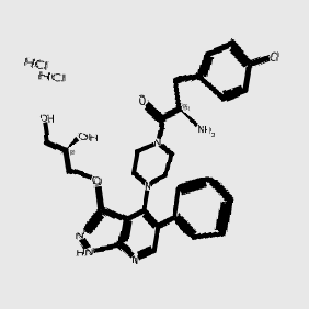 Cl.Cl.N[C@H](Cc1ccc(Cl)cc1)C(=O)N1CCN(c2c(-c3ccccc3)cnc3[nH]nc(OC[C@H](O)CO)c23)CC1